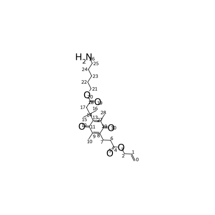 C=CCOC(=O)CCC1=C(C)C(=O)C(C(C)(C)CC(=O)OCCCCCN)=C(C)C1=O